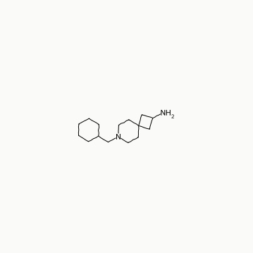 NC1CC2(CCN(CC3CCCCC3)CC2)C1